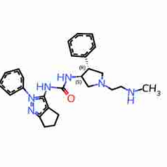 CNCCN1C[C@@H](NC(=O)Nc2c3c(nn2-c2ccccc2)CCC3)[C@H](c2ccccc2)C1